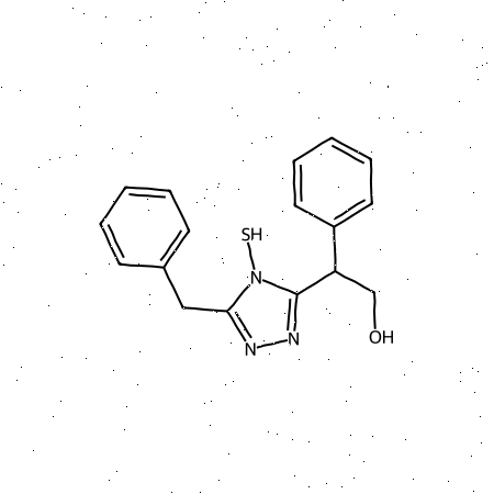 OCC(c1ccccc1)c1nnc(Cc2ccccc2)n1S